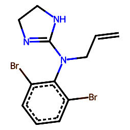 C=CCN(C1=NCCN1)c1c(Br)cccc1Br